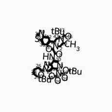 CC1CN(C(=O)C(=O)Nc2cnc(N(C(=O)OC(C)(C)C)C(=O)OC(C)(C)C)c3cn(C4CCCCO4)nc23)C(c2ccc3scnc3c2)CN1C(=O)C(C)(C)C